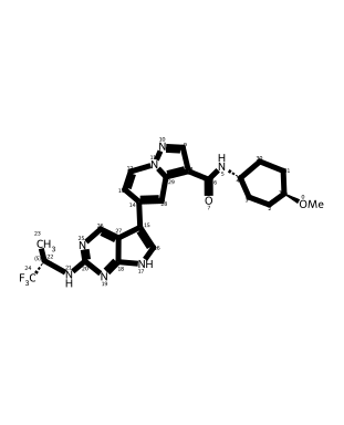 CO[C@H]1CC[C@H](NC(=O)c2cnn3ccc(-c4c[nH]c5nc(N[C@@H](C)C(F)(F)F)ncc45)cc23)CC1